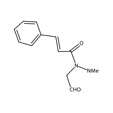 CNN(C[C]=O)C(=O)C=Cc1ccccc1